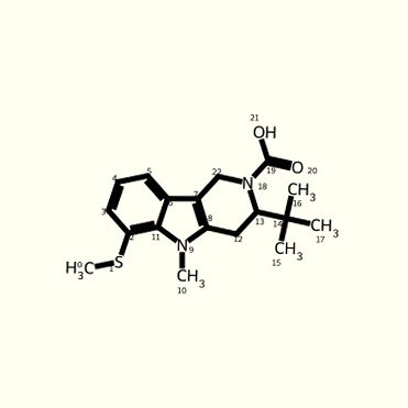 CSc1cccc2c3c(n(C)c12)CC(C(C)(C)C)N(C(=O)O)C3